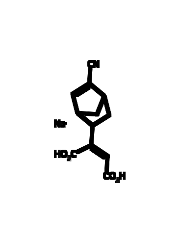 N#CC1=CC2CC1CC2C(=CC(=O)O)C(=O)O.[Na]